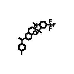 C=C(c1ccc(C)cc1)c1ccc2c(c1)C=CC1(O2)N(C)c2ccc(C(F)(F)F)cc2C1(C)C